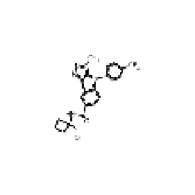 Cn1nnc2c3cc(C(=O)NC4(CO)CCC4)ccc3n(-c3ccc(C(F)(F)F)cc3)c21